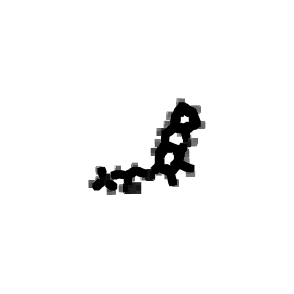 Cc1c(OCC(O)C[N+](C)(C)C)cc2c(c1C)Sc1ccccc1C2